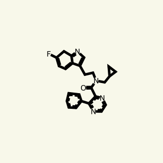 O=C(c1nccnc1-c1ccccc1)N(CCC1=CN=C2CC(F)=CC=C12)CC1CC1